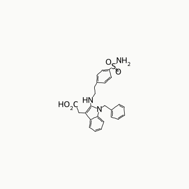 NS(=O)(=O)c1ccc(CCNc2c(CC(=O)O)c3ccccc3n2Cc2ccccc2)cc1